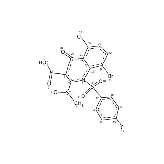 CC(=O)c1c([S+](C)[O-])n(S(=O)(=O)c2ccc(Cl)cc2)c2c(Br)ccc(Cl)c2c1=O